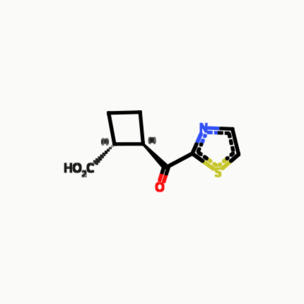 O=C(O)[C@@H]1CC[C@H]1C(=O)c1nccs1